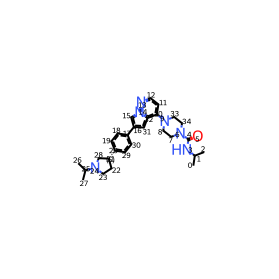 CC(C)NC(=O)N1CCN(c2ccnn3cc(-c4ccc([C@@H]5CCN(C(C)C)C5)cc4)cc23)CC1